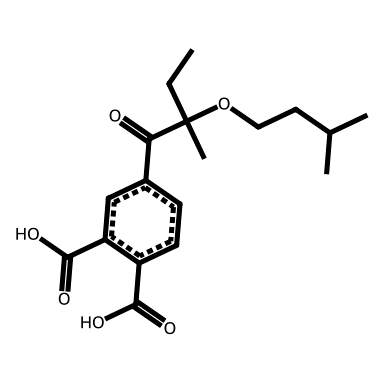 CCC(C)(OCCC(C)C)C(=O)c1ccc(C(=O)O)c(C(=O)O)c1